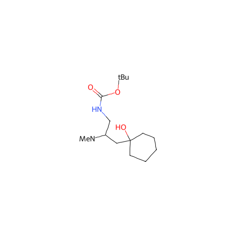 CNC(CNC(=O)OC(C)(C)C)CC1(O)CCCCC1